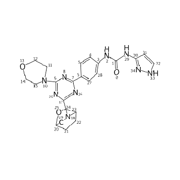 O=C(Nc1ccc(-c2nc(N3CCOCC3)nc(N3CC4CCC3CO4)n2)cc1)Nc1cc[nH]n1